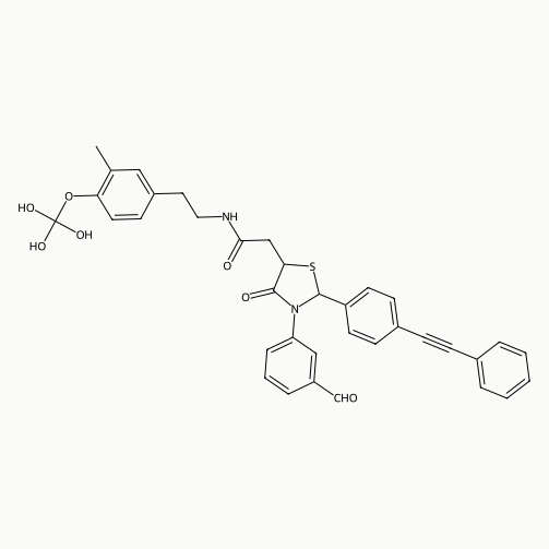 Cc1cc(CCNC(=O)CC2SC(c3ccc(C#Cc4ccccc4)cc3)N(c3cccc(C=O)c3)C2=O)ccc1OC(O)(O)O